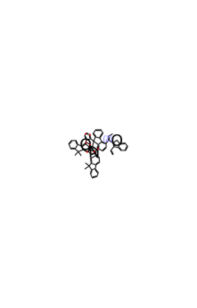 C=Cc1c(/C(=C\C)c2ccc(N(c3ccc4c(c3)C(C)(C)c3ccccc3-4)c3ccc4c(c3)C(C)(C)c3ccccc3-4)c3c2-c2ccccc2C32c3ccccc3Oc3ccccc32)oc2ccccc12